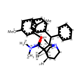 COc1ccc(OC)c(CN[C@H]2[C@H]3CCN(C[C@@H]3C(=O)N(C)C)[C@H]2C(c2ccccc2)c2ccccc2)c1